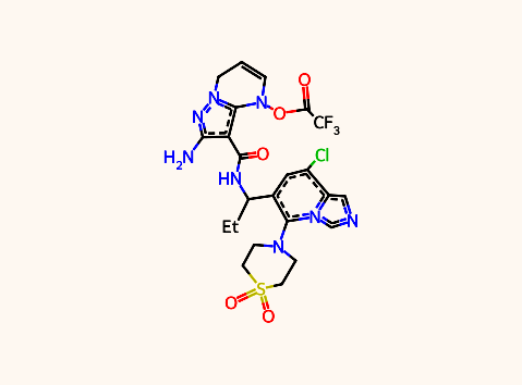 CCC(NC(=O)c1c(N)nn2c1N(OC(=O)C(F)(F)F)C=CC2)c1cc(Cl)c2cncn2c1N1CCS(=O)(=O)CC1